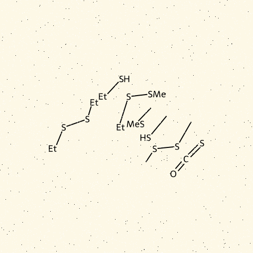 CCS.CCSSC.CCSSCC.CS.CSC.CSSC.O=C=S